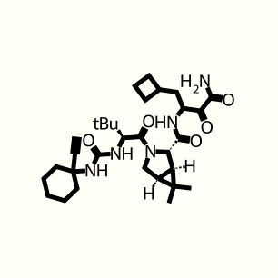 C#CC1(NC(=O)N[C@H](C(=O)N2C[C@H]3[C@@H]([C@H]2C(=O)NC(CC2CCC2)C(=O)C(N)=O)C3(C)C)C(C)(C)C)CCCCC1